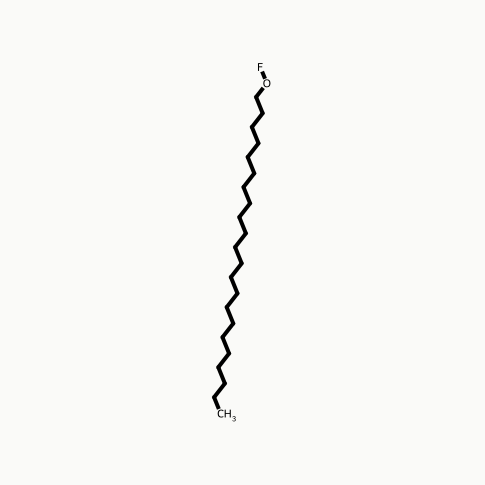 CCCCCCCCCCCCCCCCCCCCCCOF